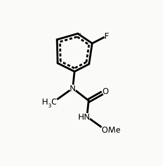 CONC(=O)N(C)c1cc[c]c(F)c1